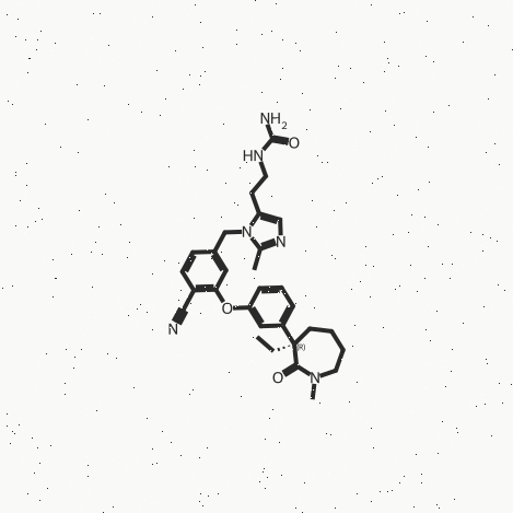 CC[C@]1(c2cccc(Oc3cc(Cn4c(CCNC(N)=O)cnc4C)ccc3C#N)c2)CCCCN(C)C1=O